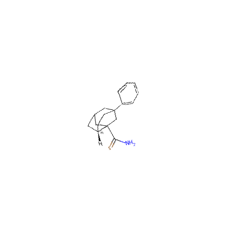 NC(=S)C12CC3C[C@@H]1CC(c1ccccc1)(C3)C2